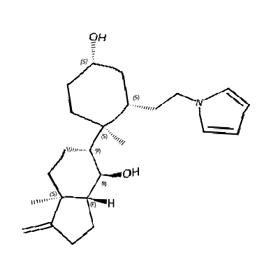 C=C1CC[C@H]2[C@H](O)[C@@H]([C@@]3(C)CC[C@H](O)C[C@@H]3CCn3cccc3)CC[C@]12C